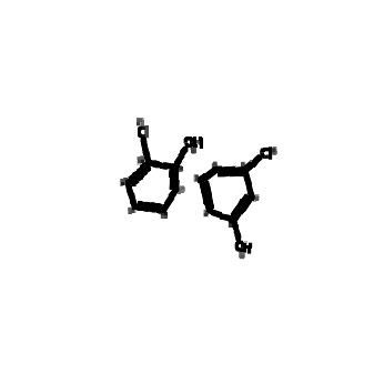 Oc1cccc(Cl)c1.Oc1ccccc1Cl